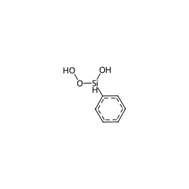 OO[SiH](O)c1ccccc1